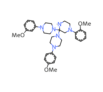 COc1ccc(N2CCN(C3(N4CCN(c5cccc(OC)c5)CC4)CN(c4ccccc4OC)CC[N]3)CC2)cc1